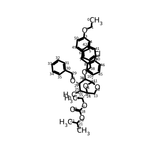 CCOc1ccc(Cc2cc([C@]34OC[C@](C(C)OC(=O)OC(C)C)(O3)[C@@H](C)[C@H](OCc3ccccc3)[C@H]4OCc3ccccc3)ccc2Cl)cc1